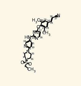 CCS(=O)(=O)N1CCN(c2ccc(Nc3nccc(Oc4c(C)cc(/C=C/C#N)cc4C)n3)cn2)CC1